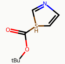 CC(C)(C)OC(=O)[SH]1C=CN=C1